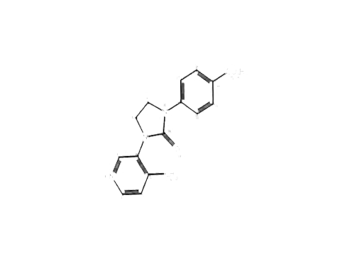 Cc1ccncc1N1CCN(c2ccc(C(=O)O)cc2)C1=O